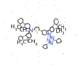 CC1(C)c2ccccc2-c2cc(N(c3ccc4c(c3)C(C)(C)c3ccccc3-4)c3ccc(-c4ccc5c(c4)c4cc6c(cc4n5-c4nc(-c5ccccc5)nc(-c5ccccc5)n4)C(C)(C)c4ccccc4-6)s3)ccc21